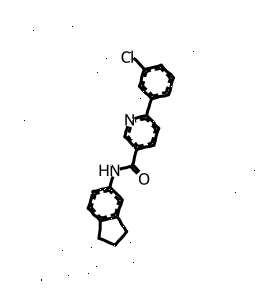 O=C(Nc1ccc2c(c1)CCC2)c1ccc(-c2cccc(Cl)c2)nc1